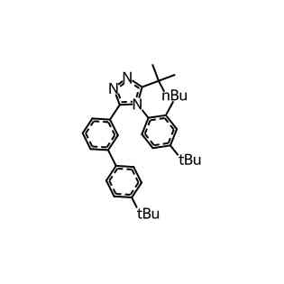 CCCCC(C)(C)c1nnc(-c2cccc(-c3ccc(C(C)(C)C)cc3)c2)n1-c1ccc(C(C)(C)C)cc1C